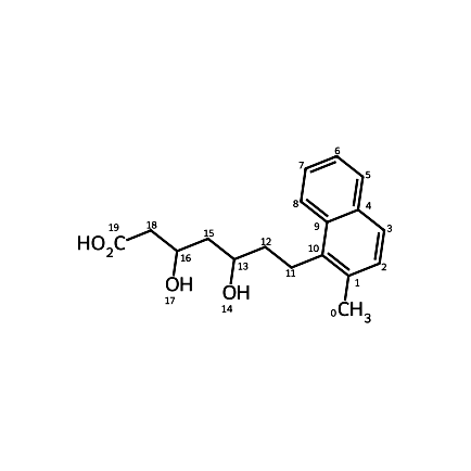 Cc1ccc2ccccc2c1CCC(O)CC(O)CC(=O)O